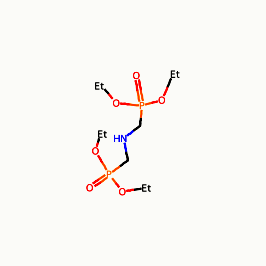 CCOP(=O)(CNCP(=O)(OCC)OCC)OCC